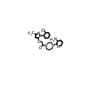 Nc1cccnc1N1CCCN(C(=O)COc2cc(C(F)(F)F)nn2-c2ccccc2Cl)CC1